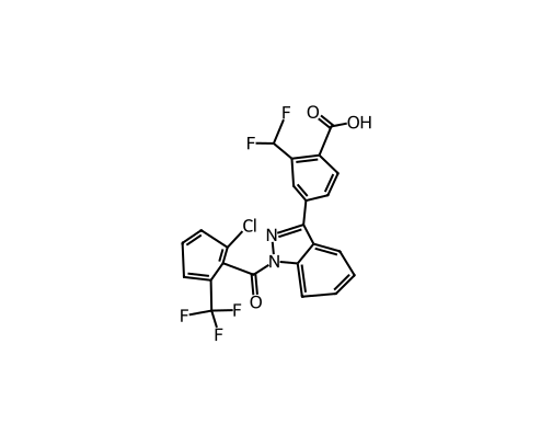 O=C(O)c1ccc(-c2nn(C(=O)c3c(Cl)cccc3C(F)(F)F)c3ccccc23)cc1C(F)F